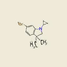 CC1(C)CN(C2CC2)c2cc(Br)ccc21